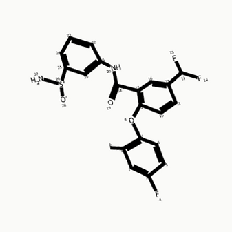 Cc1cc(F)ccc1Oc1ccc(C(F)F)cc1C(=O)Nc1cccc([S+](N)[O-])c1